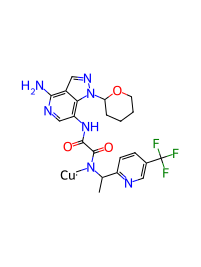 CC(c1ccc(C(F)(F)F)cn1)N(C)C(=O)C(=O)Nc1cnc(N)c2cnn(C3CCCCO3)c12.[Cu]